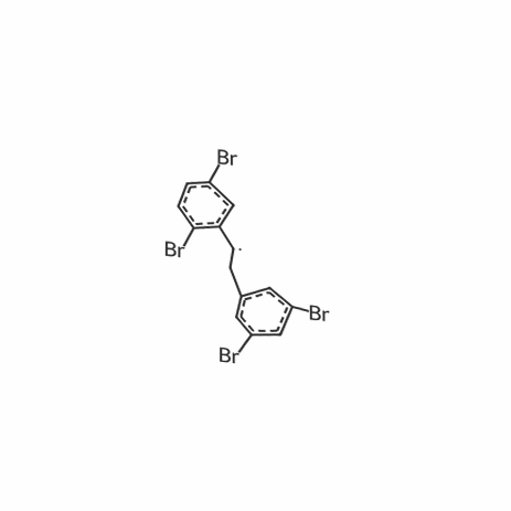 Brc1cc(Br)cc(C[CH]c2cc(Br)ccc2Br)c1